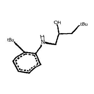 CC(C)(C)CC(O)CNc1ccccc1C(C)(C)C